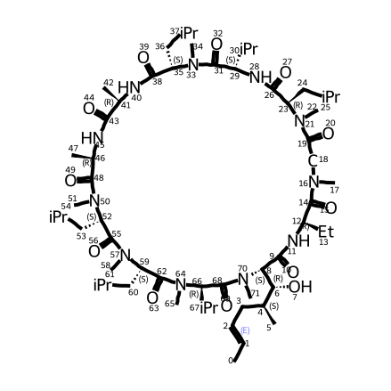 C/C=C/C[C@H](C)[C@@H](O)[C@H]1C(=O)N[C@H](CC)C(=O)N(C)CC(=O)N(C)[C@H](CC(C)C)C(=O)N[C@@H](C(C)C)C(=O)N(C)[C@@H](CC(C)C)C(=O)N[C@H](C)C(=O)N[C@H](C)C(=O)N(C)[C@@H](CC(C)C)C(=O)N(C)[C@@H](CC(C)C)C(=O)N(C)[C@H](C(C)C)C(=O)N1C